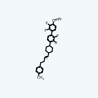 CCCOc1ccc(-c2ccc(C3CCC(/C=C/CCc4ccc(C)cc4)CC3)c(F)c2F)c(F)c1F